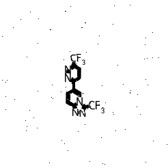 FC(F)(F)c1ccc(-c2ccc3nnc(C(F)(F)F)n3c2)nn1